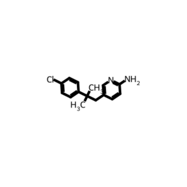 CC(C)(Cc1ccc(N)nc1)c1ccc(Cl)cc1